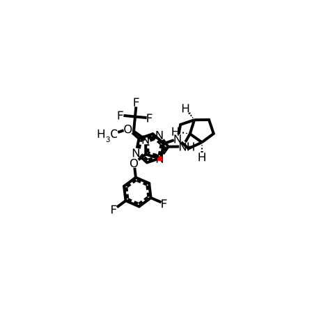 COc1cc(N2C[C@H]3CC[C@@H](C2)[C@H]3Nc2nc(Oc3cc(F)cc(F)c3)n(CC(F)(F)F)n2)ccn1